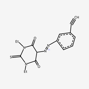 C#Cc1cccc(/N=N/C2C(=O)N(CC)C(=S)N(CC)C2=O)c1